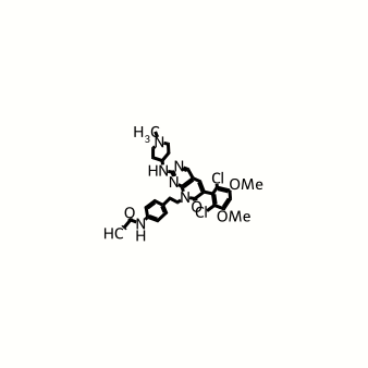 C#CC(=O)Nc1ccc(CCn2c(=O)c(-c3c(Cl)c(OC)cc(OC)c3Cl)cc3cnc(NC4CCN(C)CC4)nc32)cc1